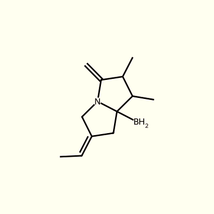 BC12C/C(=C/C)CN1C(=C)C(C)C2C